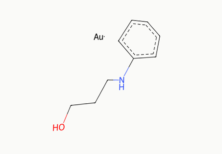 OCCCNc1ccccc1.[Au]